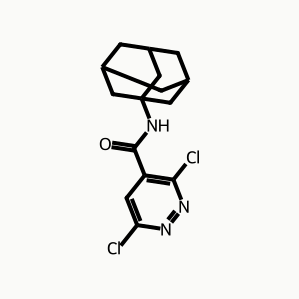 O=C(NC12CC3CC(CC(C3)C1)C2)c1cc(Cl)nnc1Cl